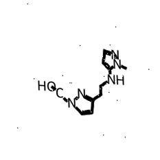 Cn1nccc1NCCc1ccn(CCO)n1